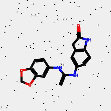 C=C(Nc1ccc2c(c1)CC(=O)N2)Nc1ccc2c(c1)OCO2